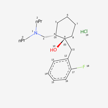 CCCN(CCC)C[C@@H]1CCCC[C@]1(O)Cc1ccccc1F.Cl